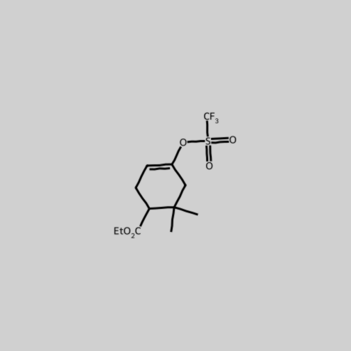 CCOC(=O)C1CC=C(OS(=O)(=O)C(F)(F)F)CC1(C)C